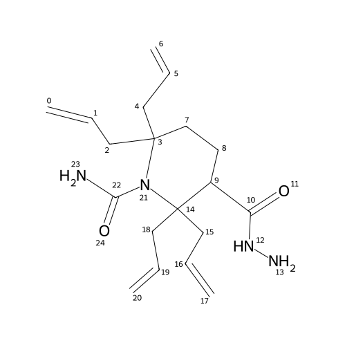 C=CCC1(CC=C)CCC(C(=O)NN)C(CC=C)(CC=C)N1C(N)=O